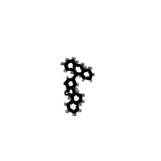 c1ccc2c(-c3ccc4oc5c6ccccc6ccc5c4c3)c3ccccc3cc2c1